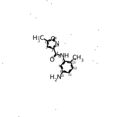 Cc1cc(C(=O)Nc2cc(N)ccc2C)no1